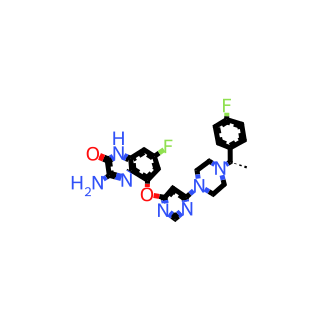 C[C@@H](c1ccc(F)cc1)N1CCN(c2cc(Oc3cc(F)cc4[nH]c(=O)c(N)nc34)ncn2)CC1